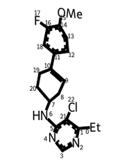 CCc1ncnc(NC2CC=C(c3ccc(OC)c(F)c3)CC2)c1Cl